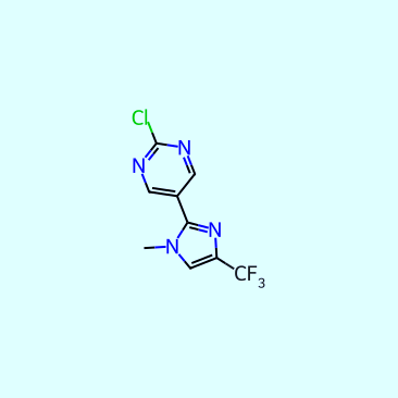 Cn1cc(C(F)(F)F)nc1-c1cnc(Cl)nc1